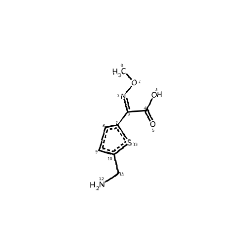 CON=C(C(=O)O)c1ccc(CN)s1